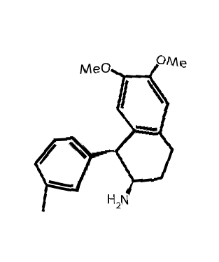 COc1cc2c(cc1OC)[C@H](c1cccc(C)c1)[C@H](N)CC2